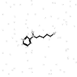 [O]CCCCC[S+]([O-])c1cccnc1